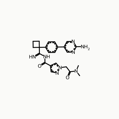 CN(C)C(=O)Cn1cc(C(=O)NC(=N)C2(c3ccc(-c4cnc(N)nc4)cc3)CCC2)cn1